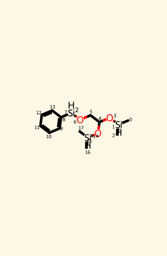 C[SiH](C)OC(CO[SiH2]c1ccccc1)O[SiH](C)C